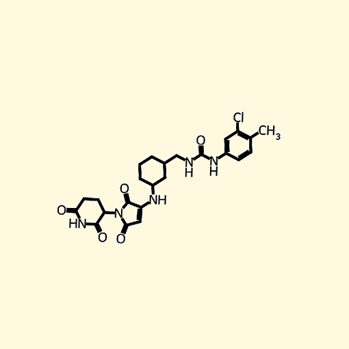 Cc1ccc(NC(=O)NCC2CCCC(NC3=CC(=O)N(C4CCC(=O)NC4=O)C3=O)C2)cc1Cl